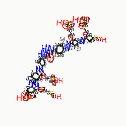 Cc1cc(N=Nc2ccc(NC(=O)Nc3ccc(/N=N/c4cc(C)c(N=Nc5ccc(SO)cc5OCCCS(=O)(=O)O)cc4OCCCS(=O)(=O)O)c(C)c3)cc2C)c(OCCCS(=O)(=O)O)cc1N=Nc1ccc(S(=O)(=O)O)cc1OCCCSO